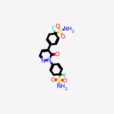 NS(=O)(=O)C1(F)C=CC(c2ccnn(C3=CCC(F)(S(N)(=O)=O)C=C3)c2=O)=CC1